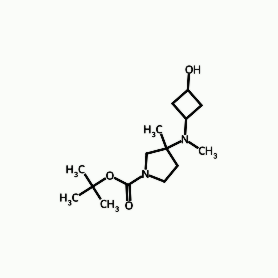 CN(C1CC(O)C1)C1(C)CCN(C(=O)OC(C)(C)C)C1